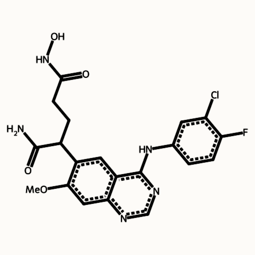 COc1cc2ncnc(Nc3ccc(F)c(Cl)c3)c2cc1C(CCC(=O)NO)C(N)=O